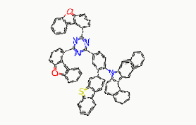 c1ccc2cc3c(cc2c1)c1c2ccccc2ccc1n3-c1ccc(-c2nc(-c3cccc4oc5ccccc5c34)nc(-c3cccc4oc5ccccc5c34)n2)cc1-c1ccc2c(c1)sc1ccccc12